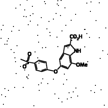 COc1cc(Oc2ccc(S(C)(=O)=O)cc2)cc2cc(C(=O)O)[nH]c12